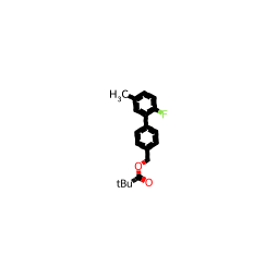 Cc1ccc(F)c(-c2ccc(COC(=O)C(C)(C)C)cc2)c1